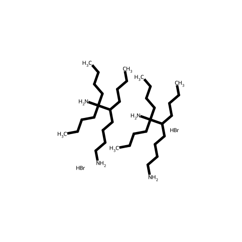 Br.Br.CCCCC(CCCCN)C(N)(CCCC)CCCC.CCCCC(CCCCN)C(N)(CCCC)CCCC